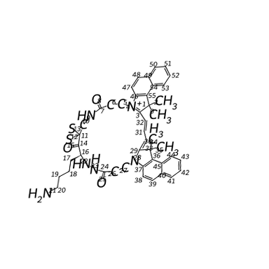 CC1(C)C2=[N+](CCC(=O)NCC3(SS3)C(=O)[C@H](CCCCN)NNC(=O)CCN3/C(=C/C=C/2)C(C)(C)c2c3ccc3ccccc23)c2ccc3ccccc3c21